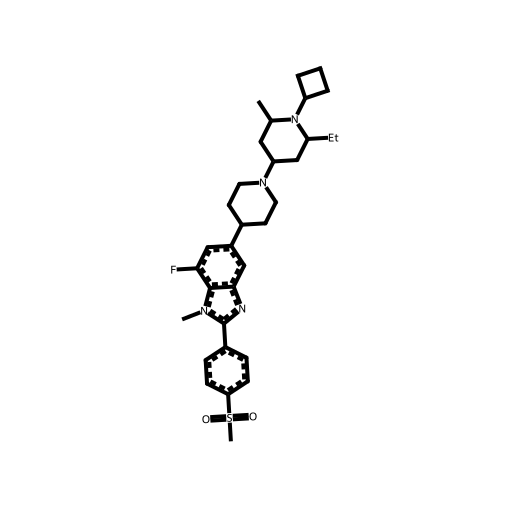 CCC1CC(N2CCC(c3cc(F)c4c(c3)nc(-c3ccc(S(C)(=O)=O)cc3)n4C)CC2)CC(C)N1C1CCC1